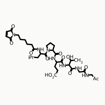 CC(=O)CNC(=O)CNC(=O)C(NC(=O)C(CCC(=O)O)NC(=O)C1CCCN1C(=O)C(CC(C)C)NC(=O)CCCCCN1C(=O)C=CC1=O)C(C)O